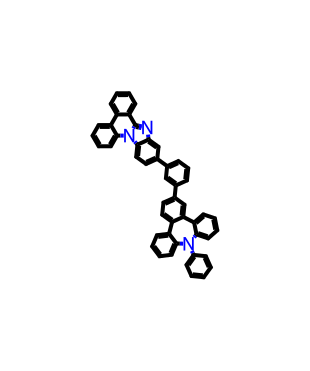 c1ccc(N2c3ccccc3-c3ccc(-c4cccc(-c5ccc6c(c5)nc5c7ccccc7c7ccccc7n65)c4)cc3-c3ccccc32)cc1